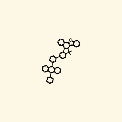 CC1(C)c2ccc(-c3cccc(-c4c5ccccc5c(-c5ccccc5)c5ccccc45)c3)cc2-c2c1c1c3ccccc3oc1c1ccccc21